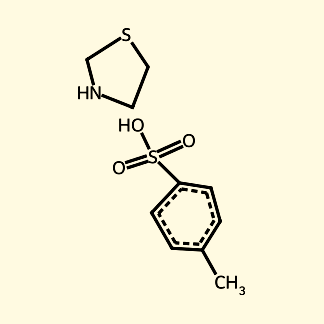 C1CSCN1.Cc1ccc(S(=O)(=O)O)cc1